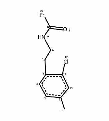 Cc1ccc(CCNC(=O)C(C)C)c(Cl)c1